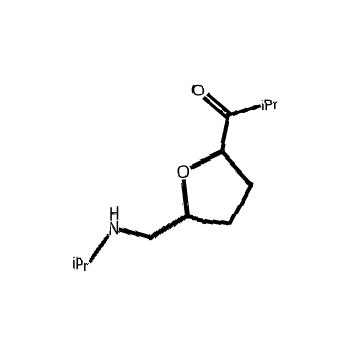 CC(C)NCC1CCC(C(=O)C(C)C)O1